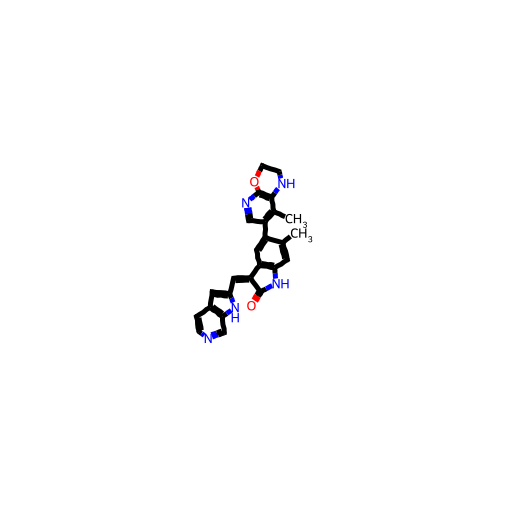 Cc1cc2c(cc1-c1cnc3c(c1C)NCCO3)C(=Cc1cc3ccncc3[nH]1)C(=O)N2